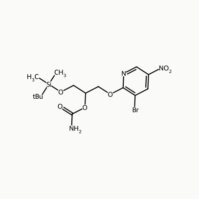 CC(C)(C)[Si](C)(C)OCC(COc1ncc([N+](=O)[O-])cc1Br)OC(N)=O